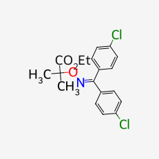 CCOC(=O)C(C)(C)ON=C(c1ccc(Cl)cc1)c1ccc(Cl)cc1